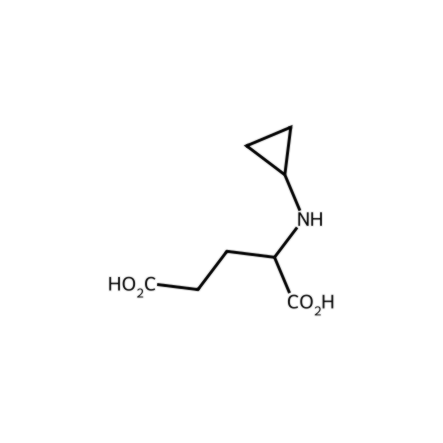 O=C(O)CCC(NC1CC1)C(=O)O